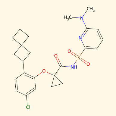 CN(C)c1cccc(S(=O)(=O)NC(=O)C2(Oc3cc(Cl)ccc3C3CC4(CCC4)C3)CC2)n1